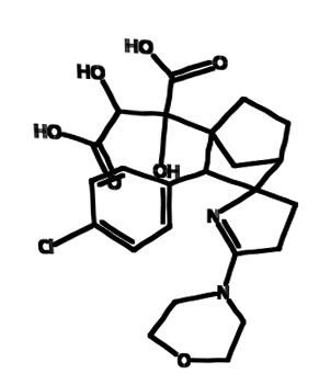 O=C(O)C(O)C(O)(C(=O)O)C12CCC(C1)C1(CCC(N3CCOCC3)=N1)C2c1ccc(Cl)cc1